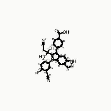 CC(C)(CC#N)c1c(-c2ccc(C(=O)O)cc2)c2cc3[nH]ncc3cc2n1-c1ccc(F)c(C#N)c1